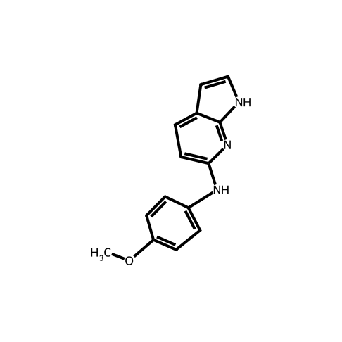 COc1ccc(Nc2ccc3cc[nH]c3n2)cc1